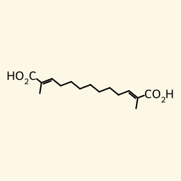 C/C(=C\CCCCCCC/C=C(\C)C(=O)O)C(=O)O